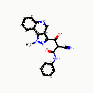 Cn1nc(C(=O)C(C#N)C(=O)Nc2ccccc2)c2cnc3ccccc3c21